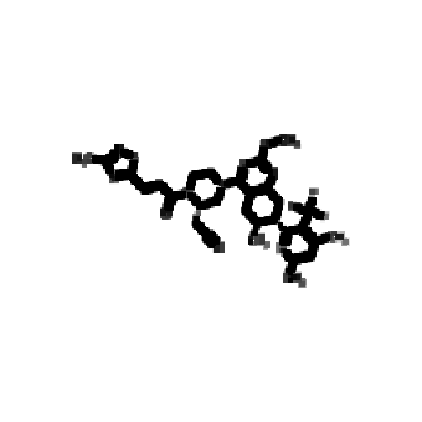 COc1nc2c(c(N3CCN(C(=O)/C=C/c4nc(C)ns4)[C@@H](CC#N)C3)n1)C[C@H](C)[C@@H](c1nc(N)cc(C)c1C(F)(F)F)C2